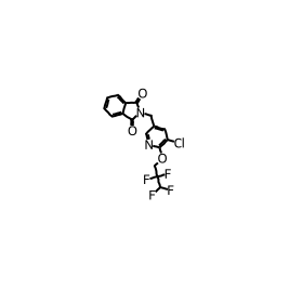 O=C1c2ccccc2C(=O)N1Cc1cnc(OCC(F)(F)C(F)F)c(Cl)c1